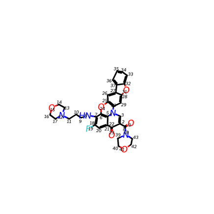 O=C(c1cn2c3c(c(NCCCN4CCOCC4)c(F)cc3c1=O)Oc1cc3c(cc1-2)oc1ccccc13)N1CCOCC1